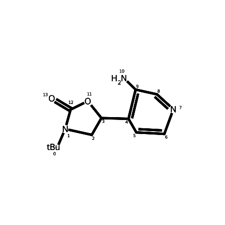 CC(C)(C)N1CC(c2ccncc2N)OC1=O